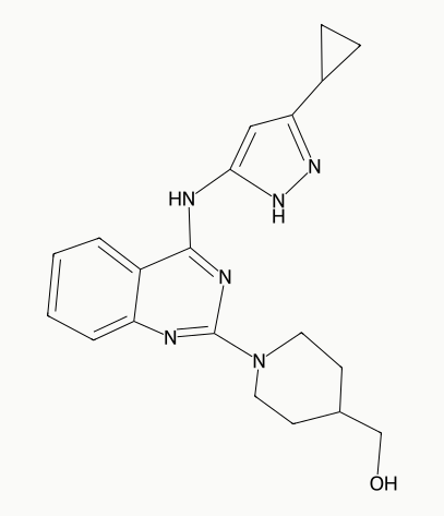 OCC1CCN(c2nc(Nc3cc(C4CC4)n[nH]3)c3ccccc3n2)CC1